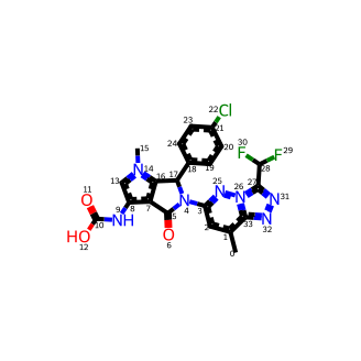 Cc1cc(N2C(=O)c3c(NC(=O)O)cn(C)c3C2c2ccc(Cl)cc2)nn2c(C(F)F)nnc12